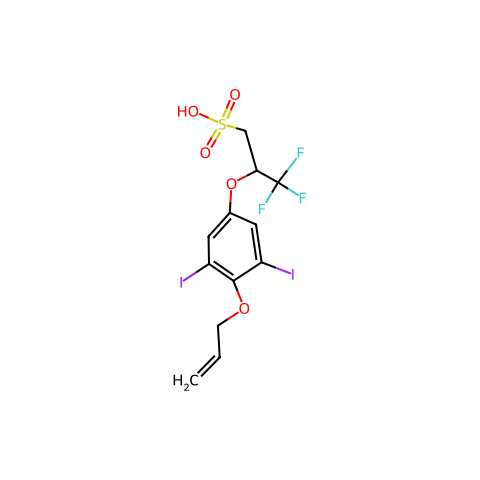 C=CCOc1c(I)cc(OC(CS(=O)(=O)O)C(F)(F)F)cc1I